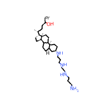 CC(C)C(O)CC[C@@H](C)[C@H]1CCC2C3CC[C@@H]4C[C@@H](NCCCNCCNCCCN)CC[C@]4(C)C3CC[C@@]21C